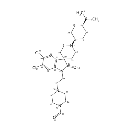 CC(C)[C@H]1CC[C@@H](N2CCC3(CC2)C(=O)N(CCN2CCN(C=O)CC2)c2cc(Cl)c(Cl)cc23)CC1